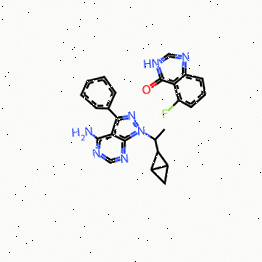 CC(C1C2CC21)n1nc(-c2ccccc2)c2c(N)ncnc21.O=c1[nH]cnc2cccc(F)c12